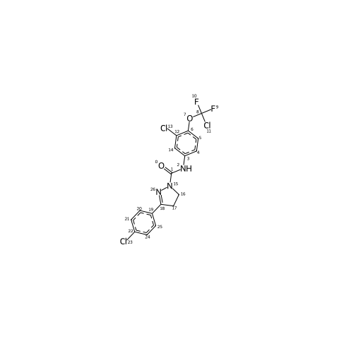 O=C(Nc1ccc(OC(F)(F)Cl)c(Cl)c1)N1CCC(c2ccc(Cl)cc2)=N1